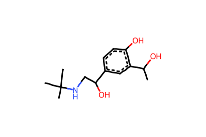 CC(O)c1cc(C(O)CNC(C)(C)C)ccc1O